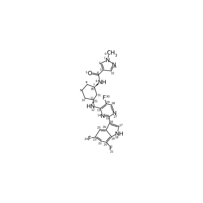 Cn1cc(C(=O)N[C@@H]2CCC[C@H](Nc3nc(-c4c[nH]c5c(F)cc(F)cc45)ncc3F)C2)cn1